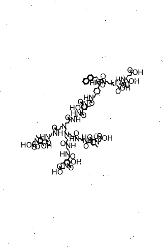 Cc1cc(C(=O)NCCNC(=O)CCN(CCC(=O)NCCNC(=O)c2cc(C)n(CC(=O)O)c(=O)c2O)CCN(CCC(=O)NCCNC(=O)c2cc(C)n(CC(=O)O)c(=O)c2O)CCC(=O)NCCNC(=O)c2cc(C)n(CC(=O)NCC3CCC(C(=O)N[C@@H](Cc4ccc5ccccc5c4)C(=O)NCCCC[C@H](NC(=O)N[C@@H](CCC(=O)O)C(=O)O)C(=O)O)CC3)c(=O)c2O)c(O)c(=O)n1CC(=O)O